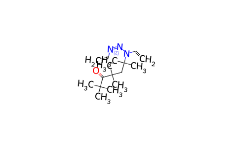 C=C/N=N\N(C=C)C(C)(C)CC(C)(C)C(=O)C(C)(C)C